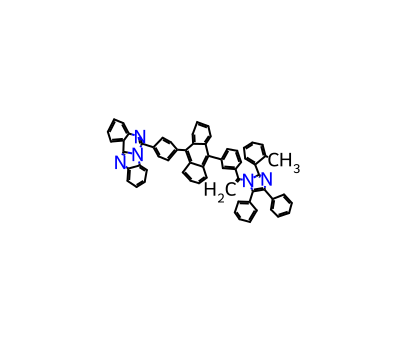 C=C(c1cccc(-c2c3ccccc3c(-c3ccc(-c4nc5ccccc5c5nc6ccccc6n45)cc3)c3ccccc23)c1)n1c(-c2ccccc2C)nc(-c2ccccc2)c1-c1ccccc1